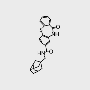 O=C(NCC12CC3CC(C1)C(C3)C2)c1ccc2c(c1)NC(=O)c1ccccc1S2